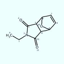 CCN1C(=O)C2C3C=CC(O3)C2C1=O